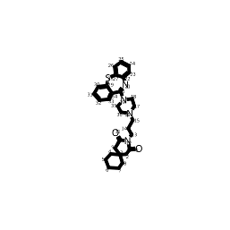 O=C1CC2(CCCCC2)CC(=O)N1CCCN1CCN(C2=Nc3ccccc3Sc3ccccc32)CC1